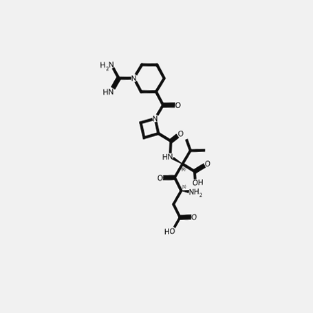 CC(C)[C@](NC(=O)C1CCN1C(=O)C1CCCN(C(=N)N)C1)(C(=O)O)C(=O)[C@@H](N)CC(=O)O